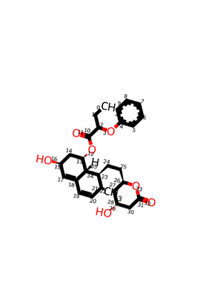 CCC(Oc1ccccc1)C(=O)O[C@H]1C[C@H](O)C=C2C=C[C@H](C)[C@H](CC[C@@H]3C[C@@H](O)CC(=O)O3)[C@H]21